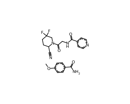 COc1ccc(C(N)=O)cc1.N#CC1CCC(F)(F)CN1C(=O)CNC(=O)c1ccncc1